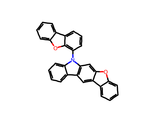 c1ccc2c(c1)oc1cc3c(cc12)c1ccccc1n3-c1cccc2c1oc1ccccc12